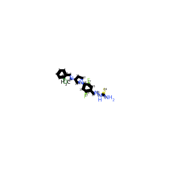 CN(Cc1ccccc1Cl)[C@@H]1CCN(c2cc(F)c(C=NNC(N)=S)cc2F)C1